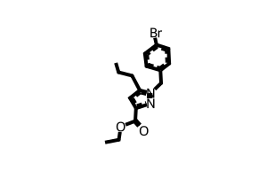 CCCc1cc(C(=O)OCC)nn1Cc1ccc(Br)cc1